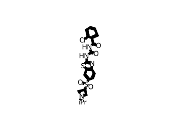 CC(C)N1CC(S(=O)(=O)c2ccc3nc(NC(=O)NC(=O)c4ccccc4Cl)sc3c2)C1